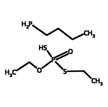 CCCCP.CCOP(=O)(S)SCC